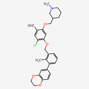 Cc1c(COc2cc(OCC3CCCN(C)C3)c(C=O)cc2Cl)cccc1-c1ccc2c(c1)OCCO2